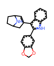 C1=C(c2c(-c3ccc4c(c3)OCO4)[nH]c3ccccc23)CC2CCC1N2